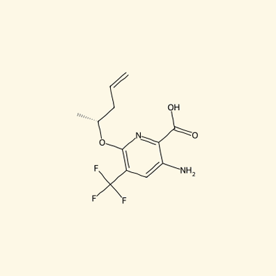 C=CC[C@@H](C)Oc1nc(C(=O)O)c(N)cc1C(F)(F)F